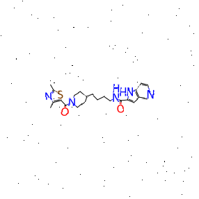 Cc1nc(C)c(C(=O)N2CCC(CCCCNC(=O)c3cc4cnccc4[nH]3)CC2)s1